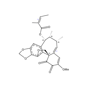 C/C=C(/C)C(=O)O[C@H]1c2cc3c(c4c2[C@@]2(CO4)C(=O)C(=O)C(OC)=C/C2=C/[C@@H](C)[C@H]1C)OCO3